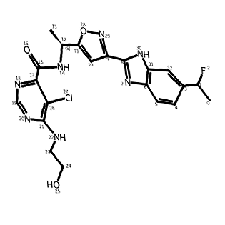 CC(F)c1ccc2nc(-c3cc([C@H](C)NC(=O)c4ncnc(NCCO)c4Cl)on3)[nH]c2c1